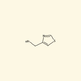 CCCCc1cscn1